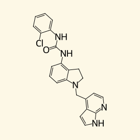 O=C(Nc1ccccc1Cl)Nc1cccc2c1CCN2Cc1ccnc2[nH]ccc12